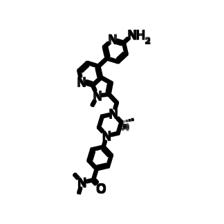 C[C@@H]1CN(c2ccc(C(=O)N(C)C)cc2)CCN1Cc1cc2c(-c3ccc(N)nc3)ccnc2n1C